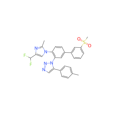 Cc1ccc(-c2cnnn2-c2cc(-c3cccc(S(C)(=O)=O)c3)ccc2-n2cc(C(F)F)nc2C)cc1